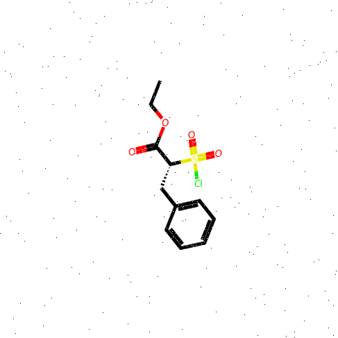 CCOC(=O)[C@@H](Cc1ccccc1)S(=O)(=O)Cl